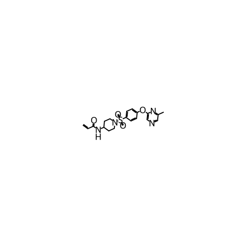 C=CC(=O)NC1CCN(S(=O)(=O)c2ccc(Oc3cncc(C)n3)cc2)CC1